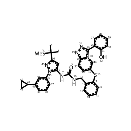 CSC(C)(C)c1cc(NC(=O)NCc2ccccc2Sc2ccc3nnc(-c4ccccc4O)n3c2)n(-c2cccc(C3CC3)c2)n1